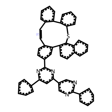 C1=C\c2ccc(-c3nc(-c4ccccc4)cc(-c4cnc(-c5ccccc5)nc4)n3)cc2-c2ccc3ccccc3c2Sc2ccccc2-c2ccccc2/1